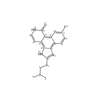 CC(C)CSc1nc2c3ccc(F)cc3c3c(=O)[nH]ccc3c2[nH]1